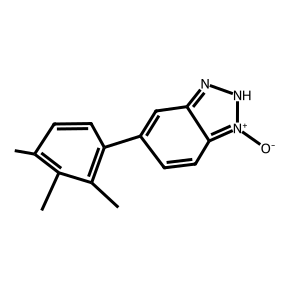 Cc1ccc(-c2ccc3c(c2)n[nH][n+]3[O-])c(C)c1C